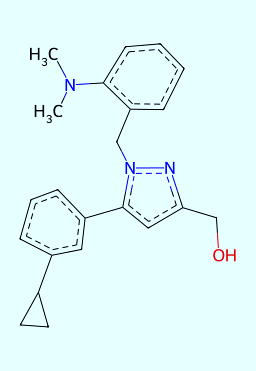 CN(C)c1ccccc1Cn1nc(CO)cc1-c1cccc(C2CC2)c1